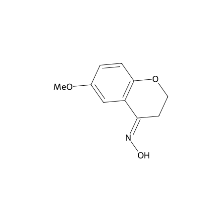 COc1ccc2c(c1)C(=NO)CCO2